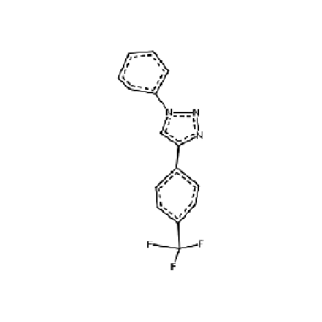 FC(F)(F)c1ccc(-c2cn(-c3ccccc3)nn2)cc1